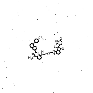 C[C@H](NC(=O)c1ccc2c(-c3ccc(C(F)(F)F)cc3)cccc2c1)c1cccc(NCCOCCNc2cccc3c2C(=O)N(C2CCC(=O)NC2=O)C3=O)n1